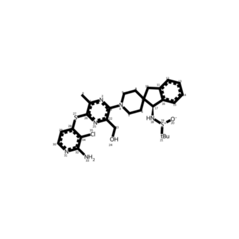 Cc1nc(N2CCC3(CC2)Cc2ccccc2[C@H]3N[S+]([O-])C(C)(C)C)c(CO)nc1Sc1ccnc(N)c1Cl